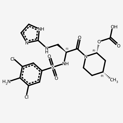 C[C@@H]1CCN(C(=O)[C@H](CNc2ncc[nH]2)NS(=O)(=O)c2cc(Cl)c(N)c(Cl)c2)[C@H](OC(=O)O)C1